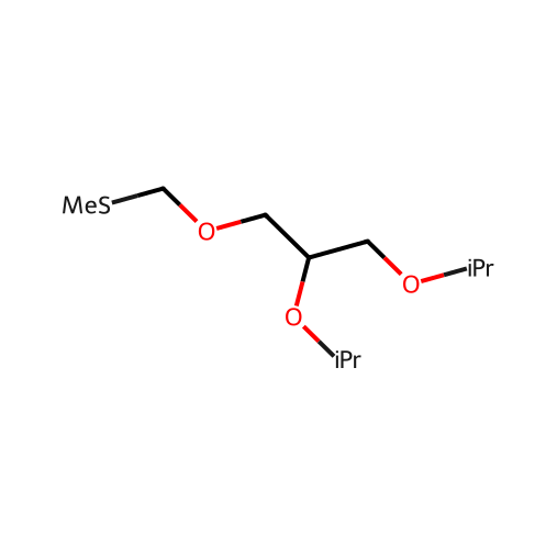 CSCOCC(COC(C)C)OC(C)C